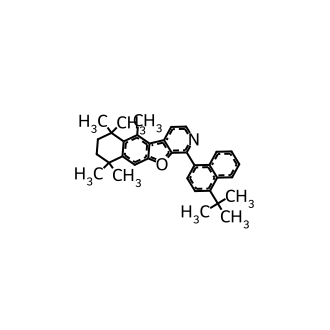 Cc1c2c(cc3oc4c(-c5ccc(C(C)(C)C)c6ccccc56)nccc4c13)C(C)(C)CCC2(C)C